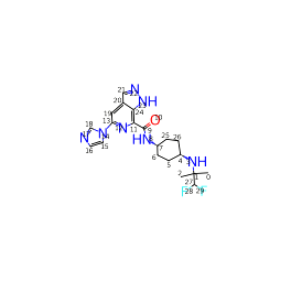 CC(C)(N[C@H]1CC[C@@H](NC(=O)c2nc(-n3ccnc3)cc3cn[nH]c23)CC1)C(F)F